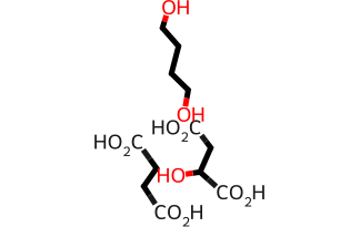 O=C(O)CC(O)C(=O)O.O=C(O)CCC(=O)O.OCCCCO